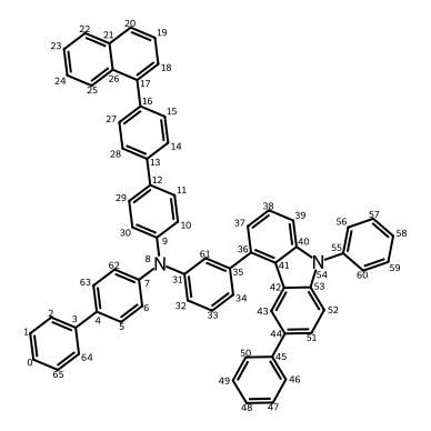 c1ccc(-c2ccc(N(c3ccc(-c4ccc(-c5cccc6ccccc56)cc4)cc3)c3cccc(-c4cccc5c4c4cc(-c6ccccc6)ccc4n5-c4ccccc4)c3)cc2)cc1